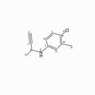 C#CC(C)Nc1ccc(Cl)c(C)c1